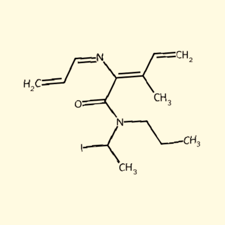 C=C/C=N\C(C(=O)N(CCC)C(C)I)=C(\C)C=C